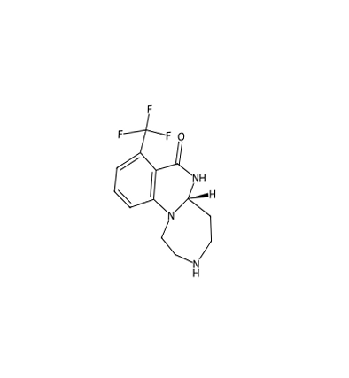 O=C1N[C@@H]2CCNCCN2c2cccc(C(F)(F)F)c21